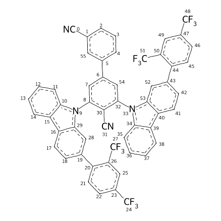 N#Cc1cccc(-c2cc(-n3c4ccccc4c4ccc(-c5ccc(C(F)(F)F)cc5C(F)(F)F)cc43)c(C#N)c(-n3c4ccccc4c4ccc(-c5ccc(C(F)(F)F)cc5C(F)(F)F)cc43)c2)c1